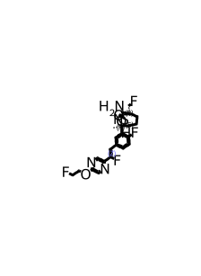 C[C@]1(c2cc(/C=C(\F)c3cnc(OCCF)cn3)ccc2F)N=C(N)[C@@]2(CF)CC[C@@H]1S2(=O)=O